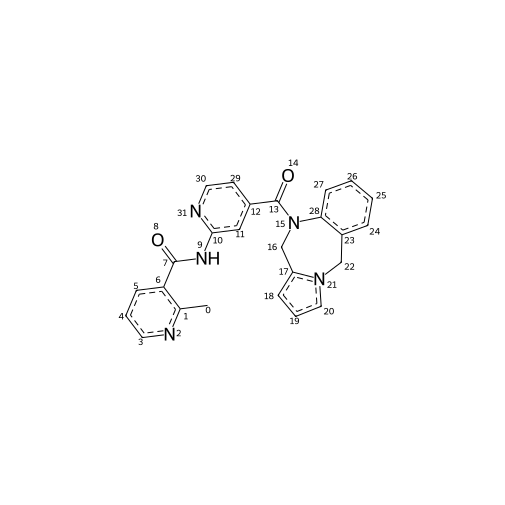 Cc1ncccc1C(=O)Nc1cc(C(=O)N2Cc3cccn3Cc3ccccc32)ccn1